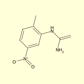 C=C(N)Nc1cc([N+](=O)[O-])ccc1C